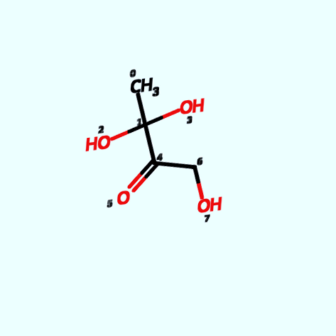 CC(O)(O)C(=O)CO